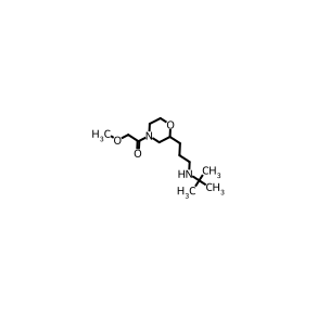 COCC(=O)N1CCOC(CCCNC(C)(C)C)C1